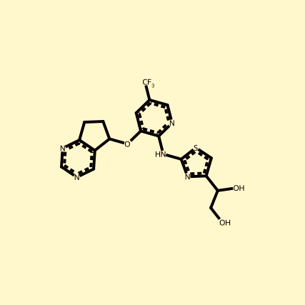 OCC(O)c1csc(Nc2ncc(C(F)(F)F)cc2OC2CCc3ncncc32)n1